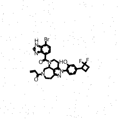 C=CC(=O)N1CCc2nn(-c3ccc(C4CCC4(F)F)cc3O)c3c2C(C1)N(C(=O)c1ccc(Br)c2[nH]cnc12)CC3